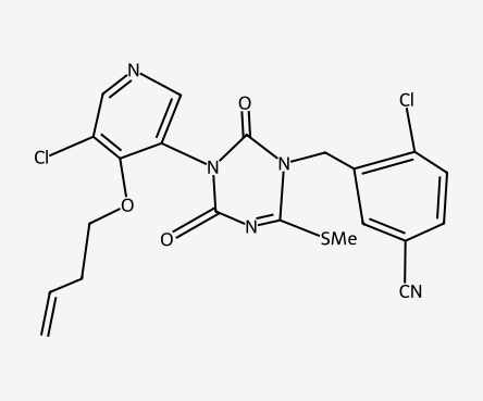 C=CCCOc1c(Cl)cncc1-n1c(=O)nc(SC)n(Cc2cc(C#N)ccc2Cl)c1=O